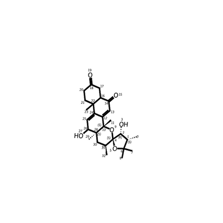 C[C@H]1[C@@H](O)[C@@]2(OC1(C)C)O[C@@]1(C)C3=CC(=O)C4CC(=O)CCC4(C)C3=CC(O)[C@]1(C)C[C@@H]2C